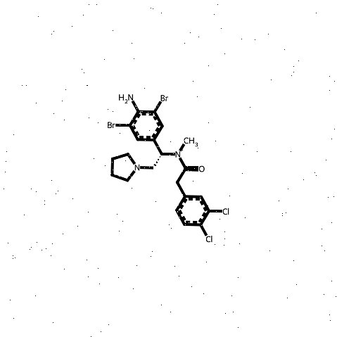 CN(C(=O)Cc1ccc(Cl)c(Cl)c1)[C@H](CN1CCCC1)c1cc(Br)c(N)c(Br)c1